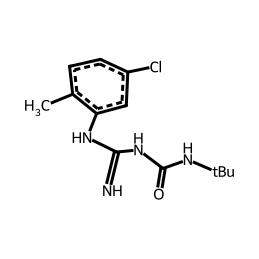 Cc1ccc(Cl)cc1NC(=N)NC(=O)NC(C)(C)C